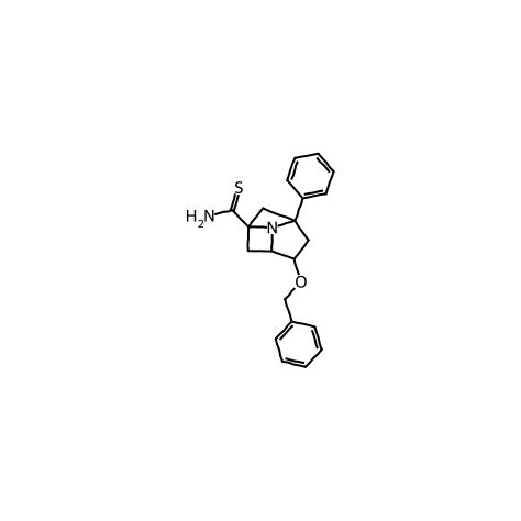 NC(=S)C12CC3C(OCc4ccccc4)CC(c4ccccc4)(C1)N32